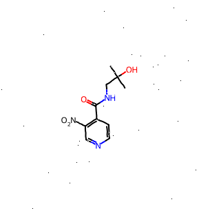 CC(C)(O)CNC(=O)c1ccncc1[N+](=O)[O-]